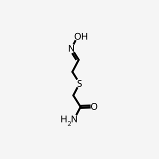 NC(=O)CSCC=NO